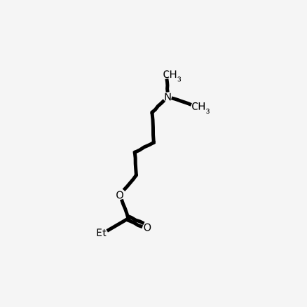 CCC(=O)OCCCCN(C)C